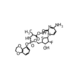 CC(C)OC(=O)C(C)NP(=O)(OC[C@H]1S[C@@H](n2ccc(N)nc2=O)[C@@H](F)[C@@H]1O)Oc1cccc2c1OCCO2